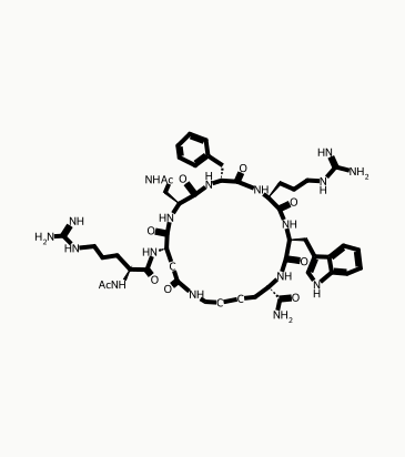 CC(=O)NC[C@@H]1NC(=O)[C@@H](NC(=O)[C@H](CCCNC(=N)N)NC(C)=O)CC(=O)NCCCC[C@@H](C(N)=O)NC(=O)[C@H](Cc2c[nH]c3ccccc23)NC(=O)[C@H](CCCNC(=N)N)NC(=O)[C@@H](Cc2ccccc2)NC1=O